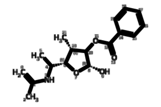 C=C(C)NC(C)[C@H]1O[C@@H](O)C(OC(=O)c2ccccc2)[C@H]1C